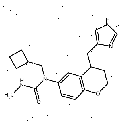 CNC(=O)N(CC1CCC1)c1ccc2c(c1)C(Cc1c[nH]cn1)CCO2